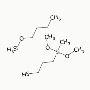 CCCCO[SiH3].CO[Si](C)(CCCS)OC